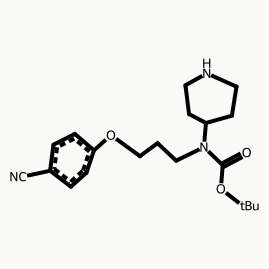 CC(C)(C)OC(=O)N(CCCOc1ccc(C#N)cc1)C1CCNCC1